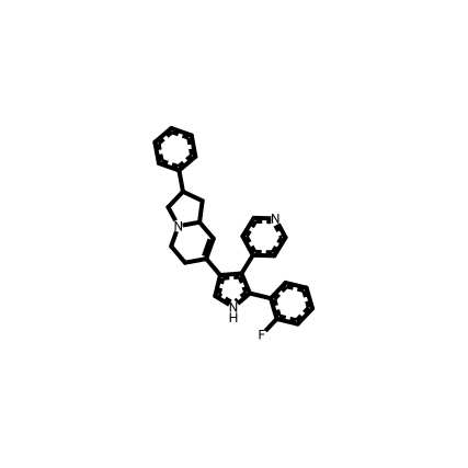 Fc1ccccc1-c1[nH]cc(C2=CC3CC(c4ccccc4)CN3CC2)c1-c1ccncc1